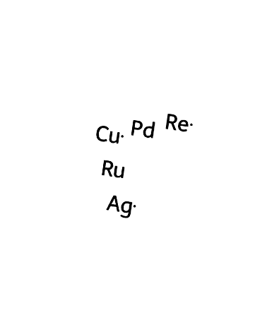 [Ag].[Cu].[Pd].[Re].[Ru]